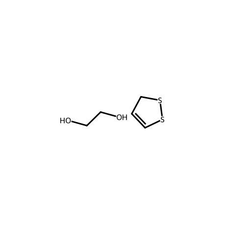 C1=CSSC1.OCCO